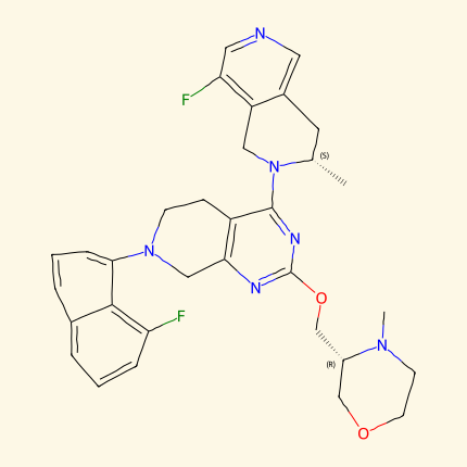 C[C@H]1Cc2cncc(F)c2CN1c1nc(OC[C@H]2COCCN2C)nc2c1CCN(c1cccc3cccc(F)c13)C2